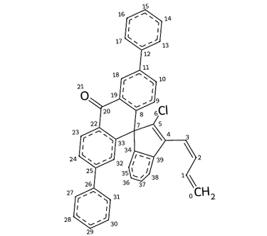 C=C/C=C\C1=C(Cl)C2(c3ccc(-c4ccccc4)cc3C(=O)c3ccc(-c4ccccc4)cc32)c2ccccc21